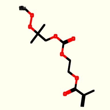 C=C(C)C(=O)OCCOC(=O)OCC(C)(C)OOC(C)(C)C